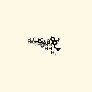 C[C@@H](c1cc(F)c2c(c1NC(=O)NS(=N)(=O)c1cc(C(C)(C)O)co1)CCC2)C1CC1